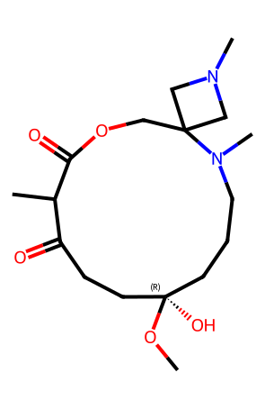 CO[C@]1(O)CCCN(C)C2(COC(=O)C(C)C(=O)CC1)CN(C)C2